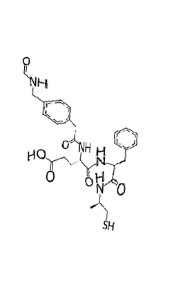 C[C@H](CS)NC(=O)[C@H](Cc1ccccc1)NC(=O)[C@H](CCC(=O)O)NC(=O)Cc1ccc(CNC=O)cc1